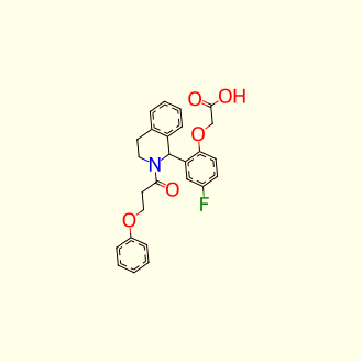 O=C(O)COc1ccc(F)cc1C1c2ccccc2CCN1C(=O)CCOc1ccccc1